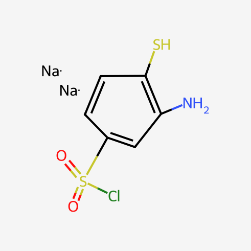 Nc1cc(S(=O)(=O)Cl)ccc1S.[Na].[Na]